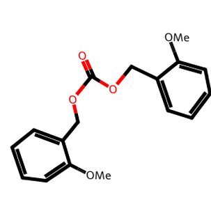 COc1ccccc1COC(=O)OCc1ccccc1OC